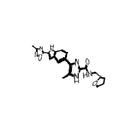 Cc1noc(-c2cc3cc(-c4nc(C(=O)NC[C@H]5CCCO5)[nH]c4C)ccc3[nH]2)n1